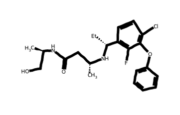 CC[C@@H](N[C@H](C)CC(=O)N[C@H](C)CO)c1ccc(Cl)c(Oc2ccccc2)c1F